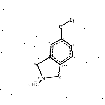 CCOc1ccc2c(c1)CN(C=O)C2